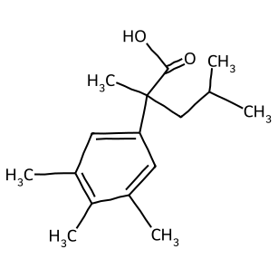 Cc1cc(C(C)(CC(C)C)C(=O)O)cc(C)c1C